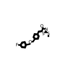 CSC1=NC(=O)C(=Cc2ccc(COCc3ccc(F)cc3)cc2)S1